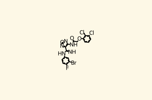 N=C(Nc1ccc(F)c(Br)c1)c1nonc1NC(=O)COc1cccc(Cl)c1Cl